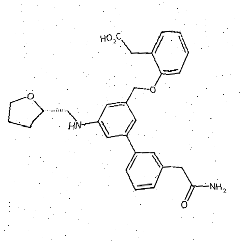 NC(=O)Cc1cccc(-c2cc(COc3ccccc3CC(=O)O)cc(NC[C@@H]3CCCO3)c2)c1